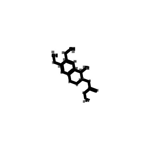 C=C(CC(C)C)CN1CCc2cc(CO)c(CO)cc2C1CC